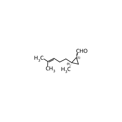 CC(C)=CCC[C@]1(C)C[C@@H]1C=O